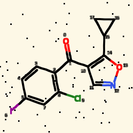 O=C(c1ccc(I)cc1Cl)c1cnoc1C1CC1